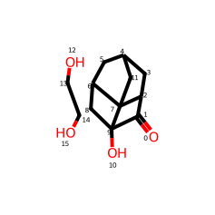 O=C1C2CC3CC(C2)CC1(O)C3.OCCO